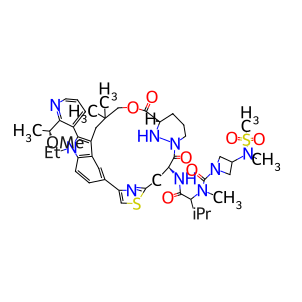 CCn1c(-c2cccnc2[C@H](C)OC)c2c3cc(ccc31)-c1csc(n1)C[C@H](NC(=O)C(C(C)C)N(C)C(=O)N1CC(N(C)S(C)(=O)=O)C1)C(=O)N1CCC[C@H](N1)C(=O)OCC(C)(C)C2